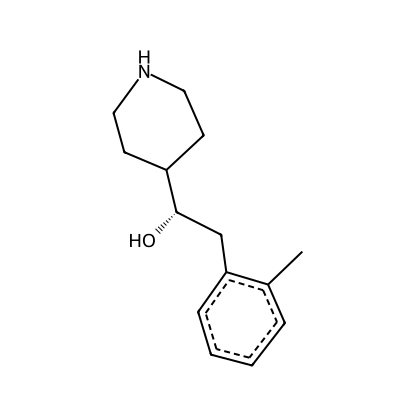 Cc1ccccc1C[C@H](O)C1CCNCC1